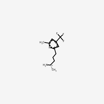 Cc1cc(C(F)(F)F)cc(CCC[C@H](C)N)n1